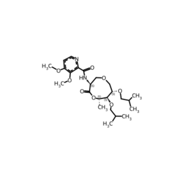 COc1ccnc(C(=O)N[C@H]2COC[C@H](OCC(C)C)[C@@H](OCC(C)C)[C@H](C)OC2=O)c1OC